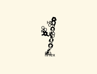 CCCCCCOC(=O)CCN1CCC(N2CCN(C(=O)[C@@H](Cc3cc(C)c4c(c3)oc(=O)n4C)OC(=O)N3CCC(N4CCc5ccccc5NC4=O)CC3)CC2)CC1